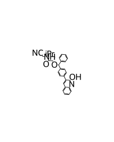 CC(C)C[C@H](O[C@H](c1ccccc1)c1ccc(-c2cc3ccccc3nc2O)cc1)C(=O)NCC#N